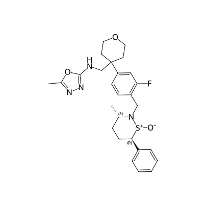 Cc1nnc(NCC2(c3ccc(CN4[C@@H](C)CC[C@H](c5ccccc5)[S+]4[O-])c(F)c3)CCOCC2)o1